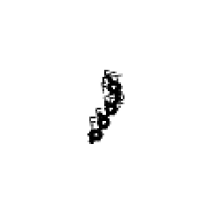 Cc1ccc(-c2ccc(-c3ccc(C(F)(F)Oc4cc(F)c(C(F)(F)F)c(F)c4)c(F)c3)c(F)c2F)cc1